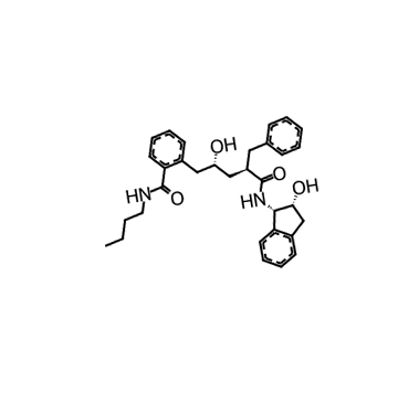 CCCCNC(=O)c1ccccc1C[C@H](O)C[C@@H](Cc1ccccc1)C(=O)N[C@H]1c2ccccc2C[C@H]1O